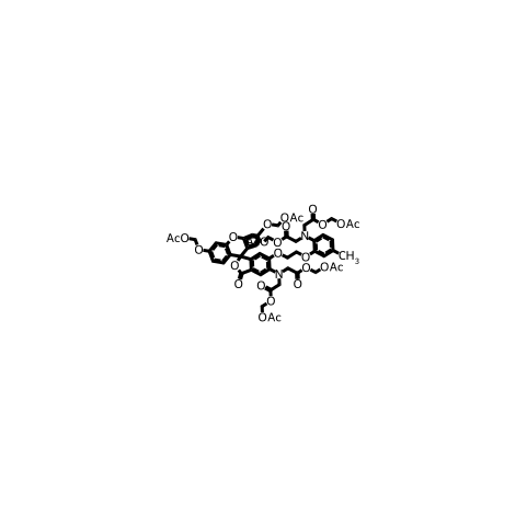 CC(=O)OCOC(=O)CN(CC(=O)OCOC(C)=O)c1ccc(C)cc1OCCOc1cc2c(cc1N(CC(=O)OCOC(C)=O)CC(=O)OCOC(C)=O)C(=O)OC21c2ccc(OCOC(C)=O)cc2Oc2cc(OCOC(C)=O)ccc21